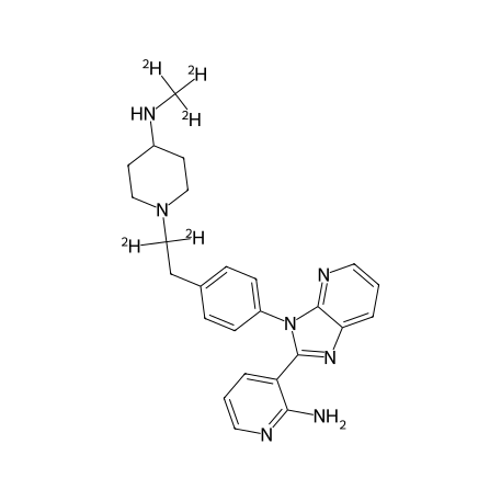 [2H]C([2H])([2H])NC1CCN(C([2H])([2H])Cc2ccc(-n3c(-c4cccnc4N)nc4cccnc43)cc2)CC1